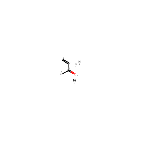 C=C[C](=O)[Cr].[Ni].[Ni].[Ti]